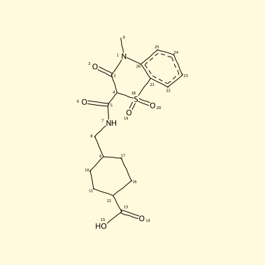 CN1C(=O)C(C(=O)NCC2CCC(C(=O)O)CC2)S(=O)(=O)c2ccccc21